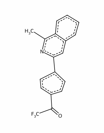 Cc1nc(-c2ccc(C(=O)C(F)(F)F)cc2)cc2ccccc12